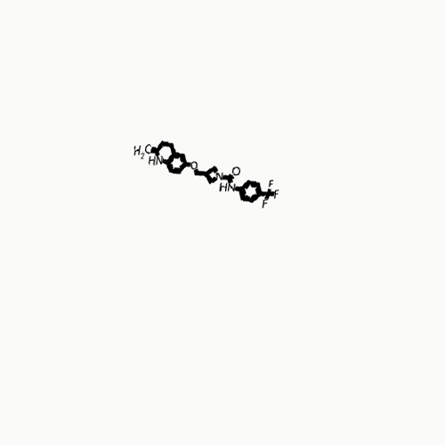 C=C1CCc2cc(OCC3CN(C(=O)Nc4ccc(C(F)(F)F)cc4)C3)ccc2N1